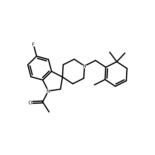 CC(=O)N1CC2(CCN(CC3=C(C)C=CCC3(C)C)CC2)c2cc(F)ccc21